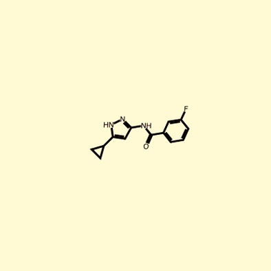 O=C(Nc1cc(C2CC2)[nH]n1)c1cccc(F)c1